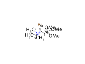 CO[Si](CC[N+](C)(C)C)(OC)OC.[Br-]